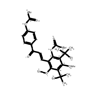 CCOc1c(C=CC(=O)c2ccc(OC(=O)C(C)(C)C)cc2)c(OC(=O)C(C)(C)C)c(C(C)(C)CC)c(OC)c1C(C)(C)CC